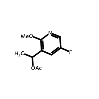 COc1ncc(F)cc1C(C)OC(C)=O